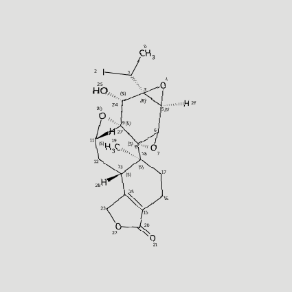 CC(I)[C@]12O[C@H]1C1O[C@]13[C@]1(O[C@H]1C[C@H]1C4=C(CC[C@@]13C)C(=O)OC4)[C@@H]2O